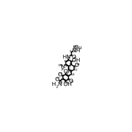 CN(C)c1cc(NC(=O)CNC(C)(C)C)c(O)c2c1CC(CC1=C(O)C(=O)C(C(N)=O)=C(O)C1=O)CC2=O